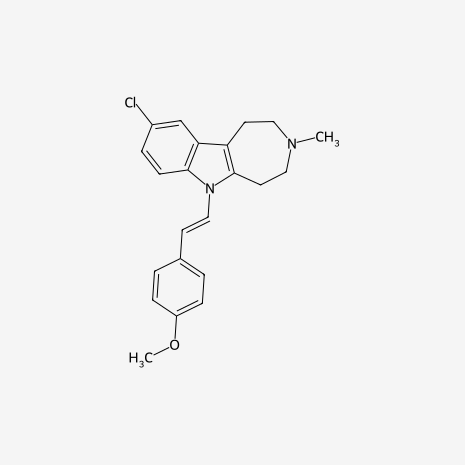 COc1ccc(C=Cn2c3c(c4cc(Cl)ccc42)CCN(C)CC3)cc1